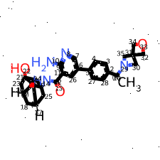 C[C@H](c1ccc(-c2cnc(N)c(C(=O)NC34C[C@H]5C[C@@H](CC(O)(C5)C3)C4)c2)cc1)N1CC2(COC2)C1